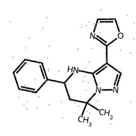 CC1(C)CC(c2ccccc2)Nc2c(-c3ncco3)cnn21